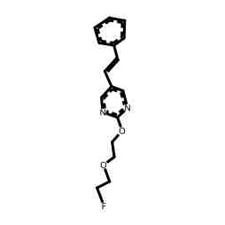 FCCOCCOc1ncc(/C=C/c2cc[c]cc2)cn1